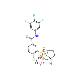 CCOC(=O)/C=C1/CC2CC[C@@H](C1)[C@H]2S(=O)(=O)c1cc(C(=O)Nc2cc(F)c(F)c(F)c2)ccc1Cl